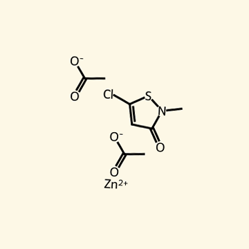 CC(=O)[O-].CC(=O)[O-].Cn1sc(Cl)cc1=O.[Zn+2]